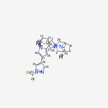 N#CC1CC(N2C3CC[C@H]2CN(c2ccnn4cc(-c5cnn(C(F)F)c5)cc24)C3)C1